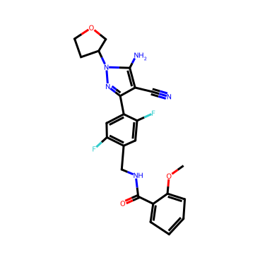 COc1ccccc1C(=O)NCc1cc(F)c(-c2nn(C3CCOC3)c(N)c2C#N)cc1F